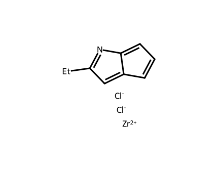 CCC1=NC2=CC=CC2=C1.[Cl-].[Cl-].[Zr+2]